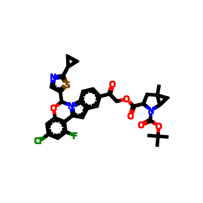 CC(C)(C)OC(=O)N1C(C(=O)OCC(=O)c2ccc3c(c2)cc2n3C(c3cnc(C4CC4)s3)Oc3cc(Cl)cc(F)c3-2)CC2(C)CC12